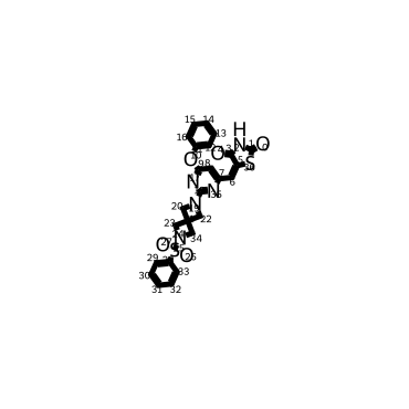 O=C1NC(=O)/C(=C\c2cc(Oc3ccccc3)nc(N3CC4(C3)CN(S(=O)(=O)c3ccccc3)C4)n2)S1